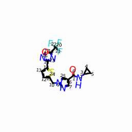 O=C(NC1CC1)c1cnn(Cc2ccc(-c3noc(C(F)(F)F)n3)s2)c1